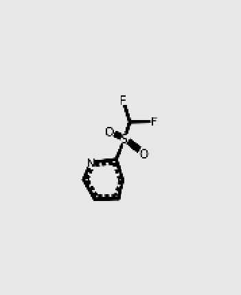 O=S(=O)(c1ccccn1)C(F)F